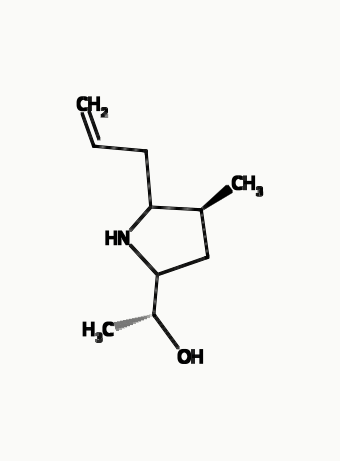 C=CCC1NC([C@@H](C)O)C[C@@H]1C